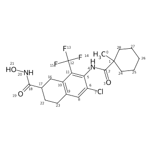 CC1(C(=O)Nc2c(Cl)cc3c(c2C(F)(F)F)CC(C(=O)NO)CC3)CCCCC1